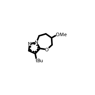 COC1CCn2ncc(C(C)(C)C)c2OC1